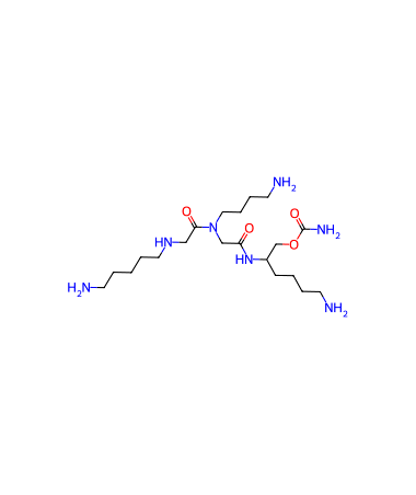 NCCCCCNCC(=O)N(CCCCN)CC(=O)NC(CCCCN)COC(N)=O